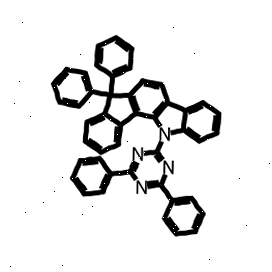 c1ccc(-c2nc(-c3ccccc3)nc(-n3c4ccccc4c4ccc5c(c43)-c3ccccc3C5(c3ccccc3)c3ccccc3)n2)cc1